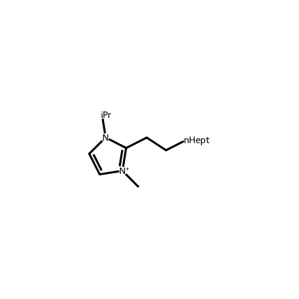 CCCCCCCCCc1n(C(C)C)cc[n+]1C